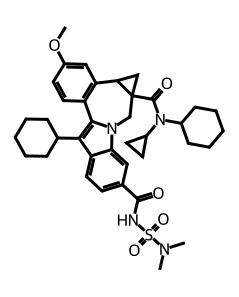 COc1ccc2c(c1)C1CC1(C(=O)N(C1CCCCC1)C1CC1)Cn1c-2c(C2CCCCC2)c2ccc(C(=O)NS(=O)(=O)N(C)C)cc21